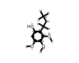 COc1cc(O)c(C(C)(C)CC(C)(C)C)c(OC)c1OC